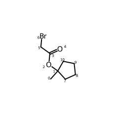 CC1(OC(=O)CBr)CCCC1